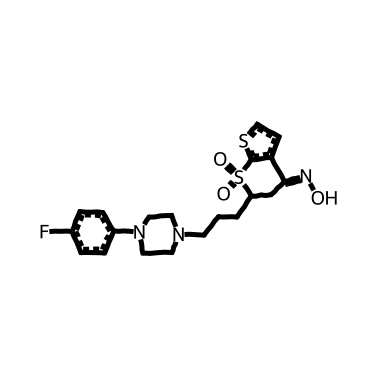 O=S1(=O)c2sccc2C(=NO)CC1CCCN1CCN(c2ccc(F)cc2)CC1